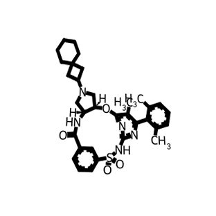 Cc1cccc(C)c1-c1nc2nc(c1C)O[C@@H]1CN(C3CC4(CCCCC4)C3)C[C@H]1NC(=O)c1cccc(c1)S(=O)(=O)N2